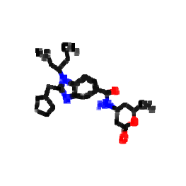 CCC(CC)n1c(CC2CCCC2)nc2cc(C(=O)N[C@@H]3CC(=O)OC(C)C3)ccc21